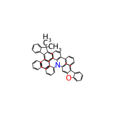 CC1(C)c2ccccc2-c2cc(-c3c(-c4ccccc4)cccc3N(c3ccc4c(c3)oc3ccccc34)c3c(-c4ccccc4)cccc3-c3ccccc3)ccc21